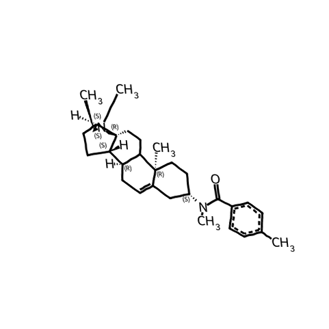 Cc1ccc(C(=O)N(C)[C@H]2CC[C@@]3(C)C(=CC[C@@H]4C3CC[C@]35CN(C)[C@@H](C)[C@H]3CC[C@@H]45)C2)cc1